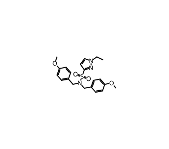 CCn1ccc(S(=O)(=O)N(Cc2ccc(OC)cc2)Cc2ccc(OC)cc2)n1